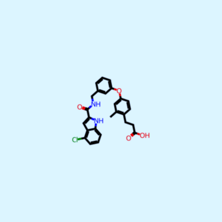 Cc1cc(Oc2cccc(CNC(=O)c3cc4c(Cl)cccc4[nH]3)c2)ccc1CCC(=O)O